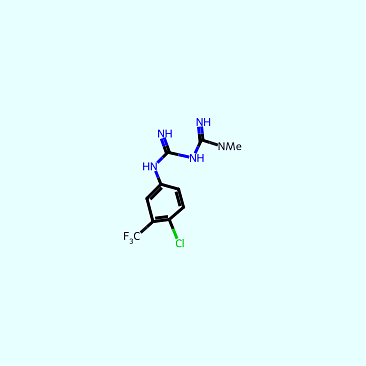 CNC(=N)NC(=N)Nc1ccc(Cl)c(C(F)(F)F)c1